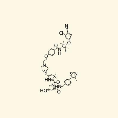 Cc1ncsc1-c1ccc(CNC(=O)[C@@H]2C[C@@H](O)CN2C(=O)[C@H]2NC(CN3CCN(CCOc4ccc(C(=O)N[C@H]5C(C)(C)[C@H](Oc6ccc(C#N)c(Cl)c6)C5(C)C)cc4)CC3)=CC2(C)C)cc1